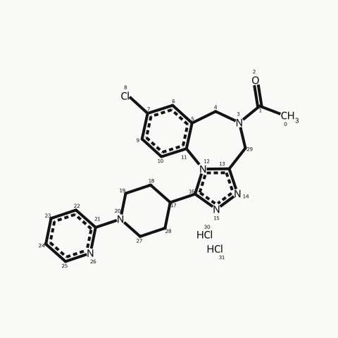 CC(=O)N1Cc2cc(Cl)ccc2-n2c(nnc2C2CCN(c3ccccn3)CC2)C1.Cl.Cl